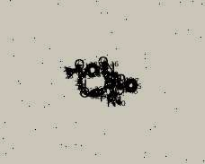 Cn1cc(-c2c3c4c(ncc5c4n(c(=O)n5C)C4CCC(NC(=O)C5CC5)(CCCOc5ccc-3cc5)CC4)n2S(=O)(=O)c2ccccc2)c(F)n1